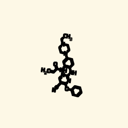 C=CC(=O)Nc1cc(N2CCN(CC)CC2)ccc1Nc1ncc(C#N)c(Oc2ccccc2)n1